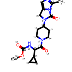 Cc1ncc2n1C(=O)N(C1CCN(C(=O)C(NC(=O)OC(C)(C)C)C3CC3)CC1)C2